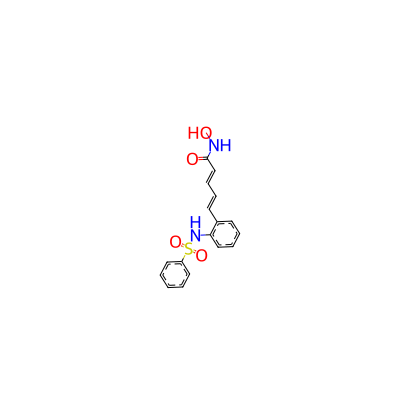 O=C(C=CC=Cc1ccccc1NS(=O)(=O)c1ccccc1)NO